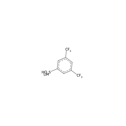 O=S(=O)(O)c1cc(C(F)(F)F)cc(C(F)(F)F)c1.[LiH]